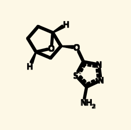 Nc1nnc(O[C@H]2C[C@@H]3CC[C@H]2O3)s1